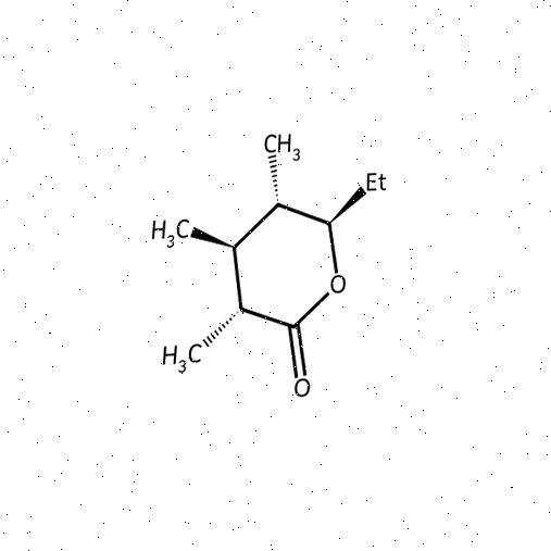 CC[C@H]1OC(=O)[C@H](C)[C@@H](C)[C@@H]1C